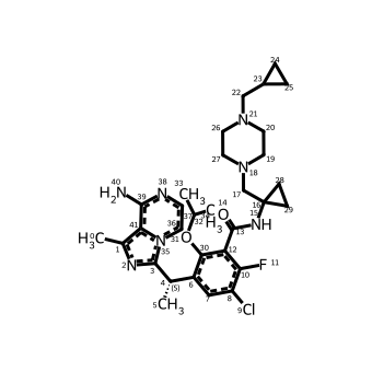 Cc1nc([C@@H](C)c2cc(Cl)c(F)c(C(=O)NC3(CN4CCN(CC5CC5)CC4)CC3)c2OC(C)C)n2ccnc(N)c12